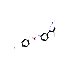 COc1ccc(OC(=O)Nc2cccc(-c3nn(C)cc3Br)c2)cc1